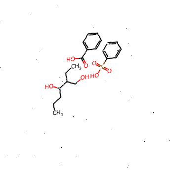 CCCC(O)C(CC)CO.O=C(O)c1ccccc1.O=S(=O)(O)c1ccccc1